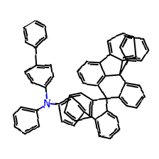 c1ccc(-c2ccc(N(c3ccccc3)c3ccc(-c4ccccc4C4(c5ccccc5)c5ccccc5C5(c6ccccc6)c6ccccc6-c6cccc4c65)cc3)cc2)cc1